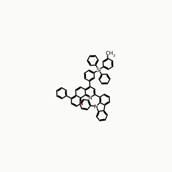 Cc1cccc([Si](c2ccccc2)(c2ccccc2)c2cccc(-c3cc(-c4cccc5c6ccccc6n(-c6ccccc6)c45)nc4c3ccc3c(-c5ccccc5)ccnc34)c2)c1